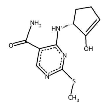 CSc1ncc(C(N)=O)c(N[C@@H]2CCC=C2O)n1